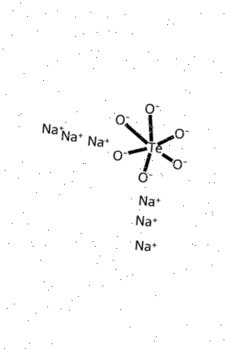 [Na+].[Na+].[Na+].[Na+].[Na+].[Na+].[O-][Te]([O-])([O-])([O-])([O-])[O-]